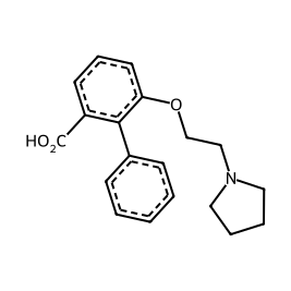 O=C(O)c1cccc(OCCN2CCCC2)c1-c1ccccc1